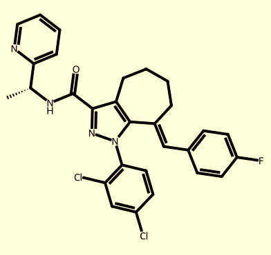 C[C@@H](NC(=O)c1nn(-c2ccc(Cl)cc2Cl)c2c1CCCC/C2=C\c1ccc(F)cc1)c1ccccn1